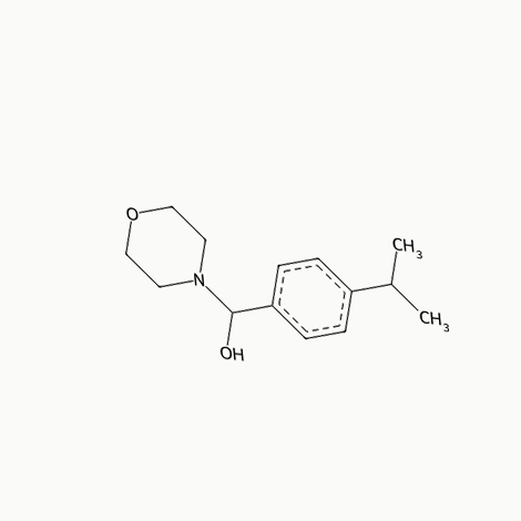 CC(C)c1ccc(C(O)N2CCOCC2)cc1